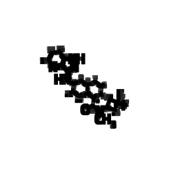 CN(C(=O)c1cccc2cc(Nc3n[nH]c4cccnc34)ccc12)C1CC(F)(F)C1